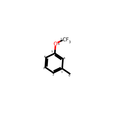 Cc1cc[c]c(OC(F)(F)F)c1